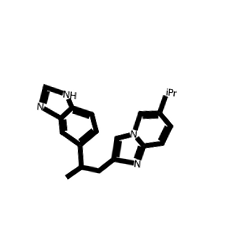 CC(C)c1ccc2nc(CC(C)c3ccc4[nH]cnc4c3)cn2c1